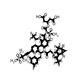 CC(C)(C#Cc1ccc(-c2ccc(Cl)c3c(N(C(=O)OC(CC(=O)O)CC(=O)O)S(C)(=O)=O)nn(CC(F)(F)F)c23)c([C@H](Cc2cc(F)cc(F)c2)NC(=O)Cn2nc(C(F)(F)F)c3c2C(F)(F)[C@@H]2C[C@H]32)n1)S(C)(=O)=O